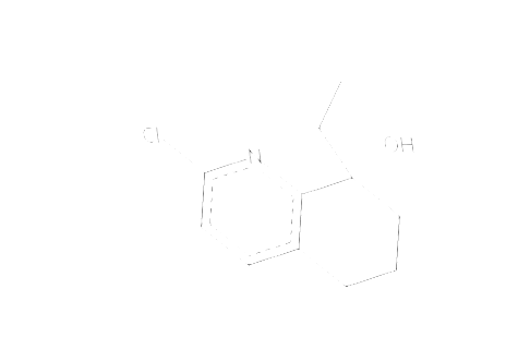 CC[C@@]1(O)CCCc2ccc(Cl)nc21